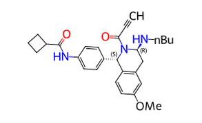 C#CC(=O)N1[C@@H](c2ccc(NC(=O)C3CCC3)cc2)c2ccc(OC)cc2C[C@@H]1NCCCC